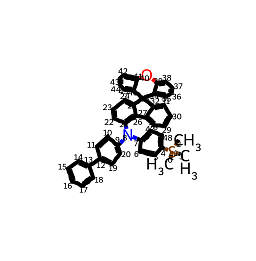 CS(C)(C)c1ccc(N(c2ccc(-c3ccccc3)cc2)c2cccc3c2-c2ccccc2C32c3ccccc3Oc3ccccc32)cc1